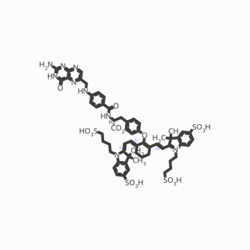 CC1(C)C(/C=C/C2=C(Oc3ccc(C[C@@H](NC(=O)c4ccc(NCc5cnc6nc(N)[nH]c(=O)c6n5)cc4)C(=O)O)cc3)C(=C/C=C3/N(CCCCS(=O)(=O)O)c4ccc(S(=O)(=O)O)cc4C3(C)C)/CCC2)=[N+](CCCCS(=O)(=O)O)c2ccc(S(=O)(=O)O)cc21